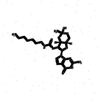 B[PH]1(O)OC[C@H]2O[C@@H](n3cnc4c(=O)[nH]c(N)nc43)C(OC(=O)NCCCCCCN)[C@H]2O1